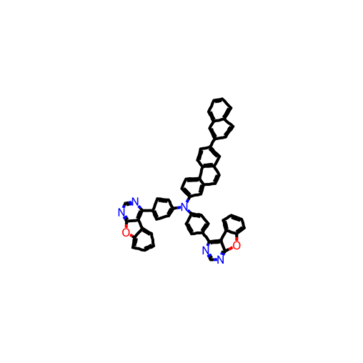 c1ccc2cc(-c3ccc4c(ccc5cc(N(c6ccc(-c7ncnc8oc9ccccc9c78)cc6)c6ccc(-c7ncnc8oc9ccccc9c78)cc6)ccc54)c3)ccc2c1